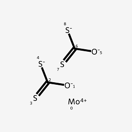 [Mo+4].[O-]C(=S)[S-].[O-]C(=S)[S-]